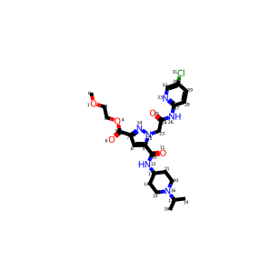 COCCOC(=O)c1cc(C(=O)NC2CCN(C(C)C)CC2)n(CC(=O)Nc2ccc(Cl)cn2)n1